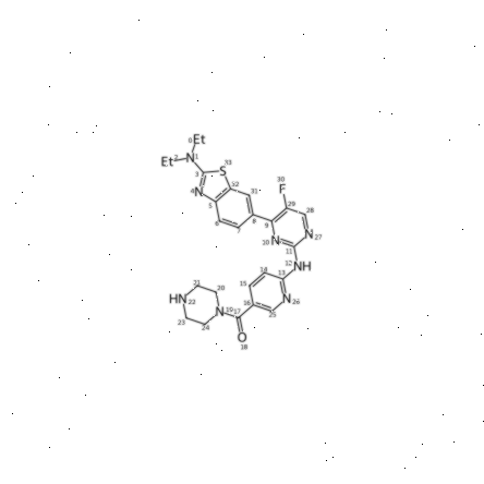 CCN(CC)c1nc2ccc(-c3nc(Nc4ccc(C(=O)N5CCNCC5)cn4)ncc3F)cc2s1